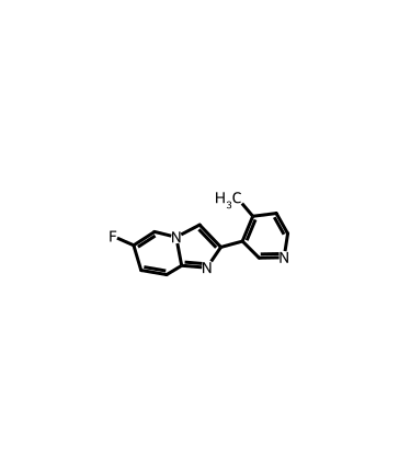 Cc1ccncc1-c1cn2cc(F)ccc2n1